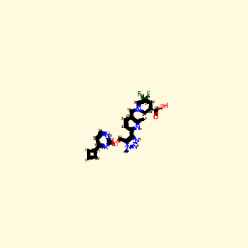 Cc1nc(-c2nnn(C)c2COc2nccc(C3CCC3)n2)ccc1CN1C[C@H](C(=O)O)CC(F)(F)C1